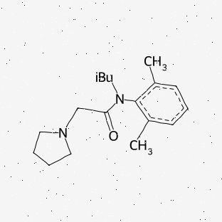 CCC(C)N(C(=O)CN1CCCC1)c1c(C)cccc1C